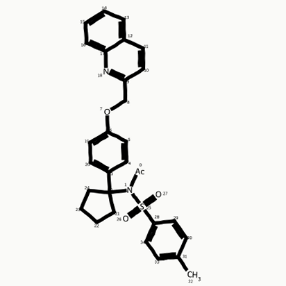 CC(=O)N(C1(c2ccc(OCc3ccc4ccccc4n3)cc2)CCCC1)S(=O)(=O)c1ccc(C)cc1